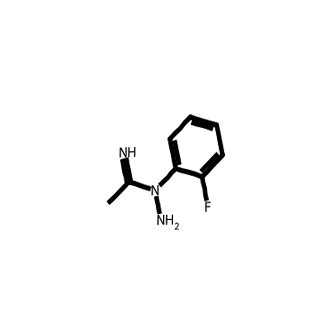 CC(=N)N(N)c1ccccc1F